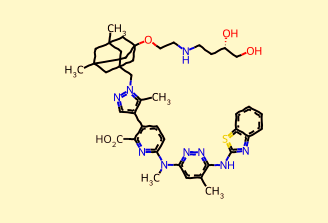 Cc1cc(N(C)c2ccc(-c3cnn(CC45CC6(C)CC(C)(C4)CC(OCCNCC[C@H](O)CO)(C6)C5)c3C)c(C(=O)O)n2)nnc1Nc1nc2ccccc2s1